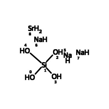 O[Si](O)(O)O.[NaH].[NaH].[NaH].[SrH2]